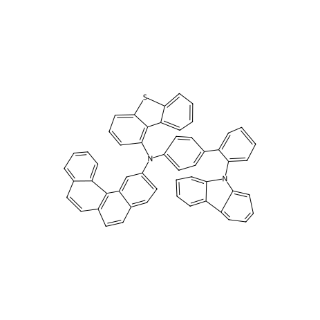 c1ccc(-n2c3ccccc3c3ccccc32)c(-c2ccc(N(c3ccc4ccc5ccc6ccccc6c5c4c3)c3cccc4sc5ccccc5c34)cc2)c1